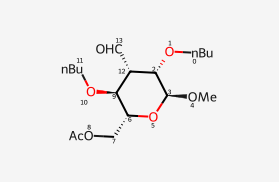 CCCCO[C@@H]1[C@@H](OC)O[C@H](COC(C)=O)[C@@H](OCCCC)[C@@H]1C=O